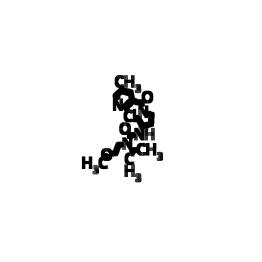 COCCN(C(=O)N[C@@H]1CCN(C(=O)c2cc(C)cnc2Cl)C1)C(C)C